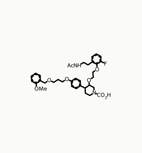 COc1ccccc1COCCCOc1ccc(C2CCN(C(=O)O)CC2OCCOc2c(F)cccc2CCNC(C)=O)cc1